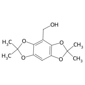 CC1(C)Oc2cc3c(c(CO)c2O1)OC(C)(C)O3